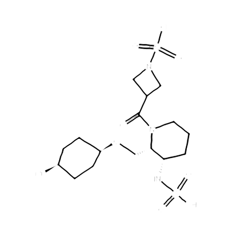 CC(C)[C@H]1CC[C@@H](OC[C@H]2[C@@H](NS(C)(=O)=O)CCCN2C(=O)C2CN(S(C)(=O)=O)C2)CC1